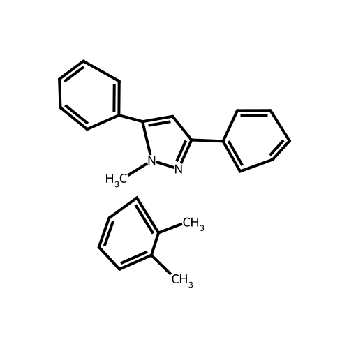 Cc1ccccc1C.Cn1nc(-c2ccccc2)cc1-c1ccccc1